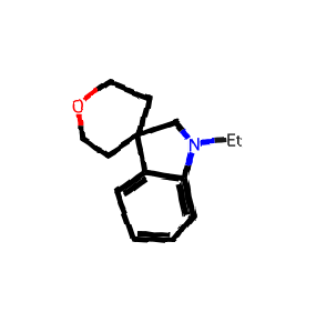 CCN1CC2(CCOCC2)c2ccccc21